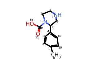 Cc1ccc(C2CNCCN2C(=O)O)cc1